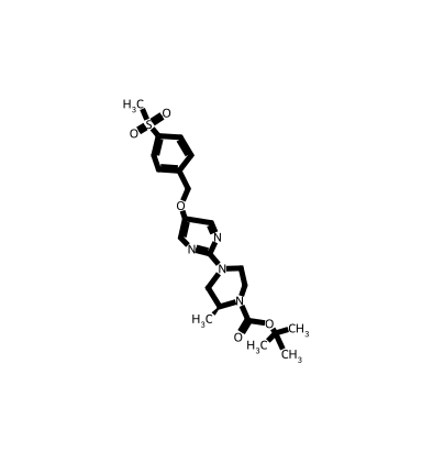 C[C@H]1CN(c2ncc(OCc3ccc(S(C)(=O)=O)cc3)cn2)CCN1C(=O)OC(C)(C)C